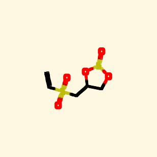 C=CS(=O)(=O)CC1COS(=O)O1